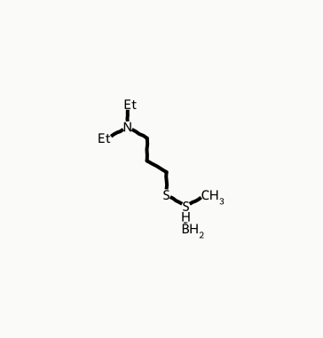 B[SH](C)SCCCN(CC)CC